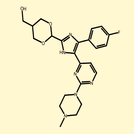 CN1CCN(c2nccc(-c3[nH]c(C4OCC(CO)CO4)nc3-c3ccc(F)cc3)n2)CC1